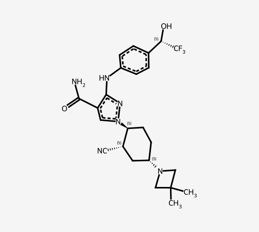 CC1(C)CN([C@H]2CC[C@H](n3cc(C(N)=O)c(Nc4ccc([C@H](O)C(F)(F)F)cc4)n3)[C@@H](C#N)C2)C1